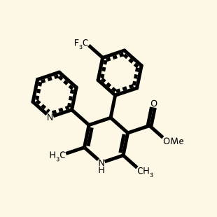 COC(=O)C1=C(C)NC(C)=C(c2ccccn2)C1c1cccc(C(F)(F)F)c1